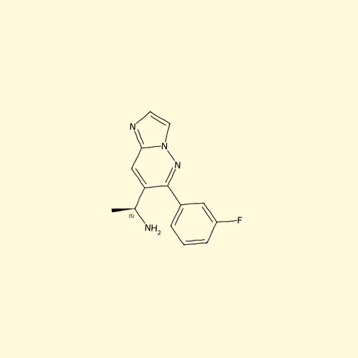 C[C@H](N)c1cc2nccn2nc1-c1cccc(F)c1